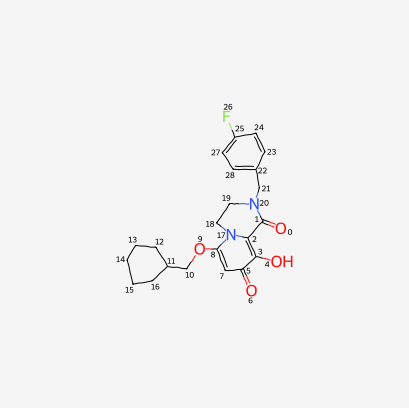 O=C1c2c(O)c(=O)cc(OCC3CCCCC3)n2CCN1Cc1ccc(F)cc1